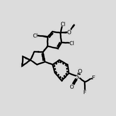 COC1(Cl)C=C(Cl)C(C2=C(c3ccc(S(=O)(=O)C(F)F)cc3)CC3(CC3)C2)C=C1Cl